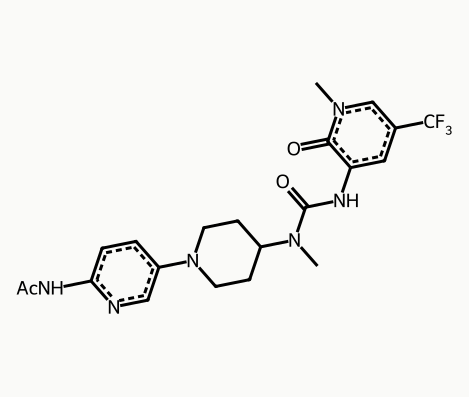 CC(=O)Nc1ccc(N2CCC(N(C)C(=O)Nc3cc(C(F)(F)F)cn(C)c3=O)CC2)cn1